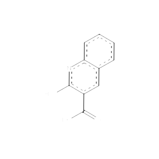 CC(=O)c1cc2ccccc2nc1C